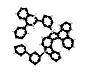 c1ccc(-c2cccc(-n3c4ccccc4c4c5c6c7ccccc7c7ccccc7c6n(-c6cccc(-c7nc(-c8ccccc8)c8ccccc8n7)c6)c5ccc43)c2)cc1